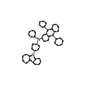 c1ccc(-c2c3ccccc3c(-c3ccccc3)c3cc(N(c4ccccc4)c4ccc(-n5c6ccccc6c6ccccc65)cc4)ccc23)cc1